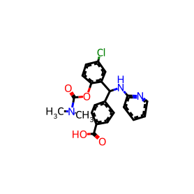 CN(C)C(=O)Oc1ccc(Cl)cc1C(Nc1ccccn1)c1ccc(C(=O)O)cc1